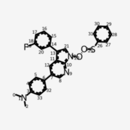 CN(C)c1ccc(-c2cnc3c(c2)c(-c2cccc(F)c2)cn3OOSc2ccccc2)cc1